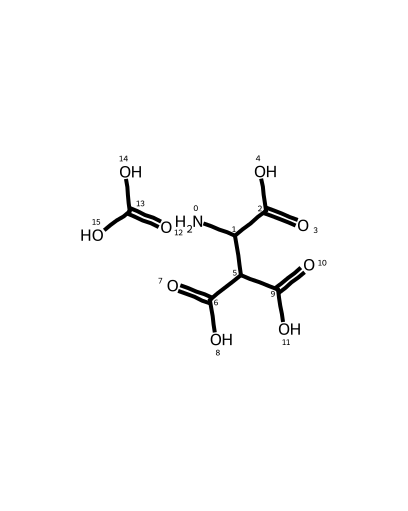 NC(C(=O)O)C(C(=O)O)C(=O)O.O=C(O)O